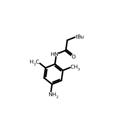 Cc1cc(N)cc(C)c1NC(=O)CC(C)(C)C